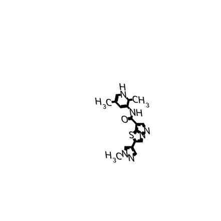 CC1=CNC(C)C(NC(=O)c2cnn3cc(-c4cnn(C)c4)sc23)=C1